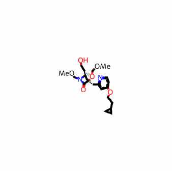 COCO[C@@]1(Cc2cc(OCCC3CC3)ccn2)C(=O)N(COC)[C@H]1CCO